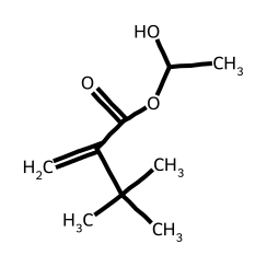 C=C(C(=O)OC(C)O)C(C)(C)C